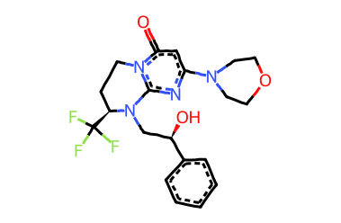 O=c1cc(N2CCOCC2)nc2n1CC[C@H](C(F)(F)F)N2C[C@@H](O)c1ccccc1